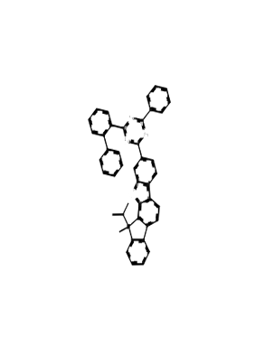 CC(C)C1(C)c2ccccc2-c2ccc3c(oc4cc(-c5nc(-c6ccccc6)nc(-c6ccccc6-c6ccccc6)n5)ccc43)c21